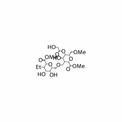 CCC1C(C(=O)OC)O[C@@H](COCC2C(C(=O)OC)O[C@H](COC)C(OC(=O)CO)[C@@H]2O)C(O)[C@@H]1O